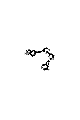 Fc1cncc(CNc2nccc(-c3nccc(C#Cc4ccc5[nH]ncc5c4)n3)n2)c1